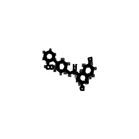 O=C(O)c1ccccc1-c1ccc(CNc2nc(Cl)nc3ccc(Cl)cc23)cc1